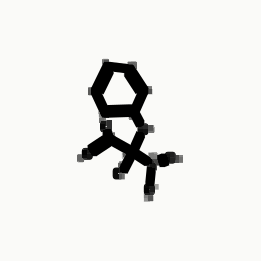 O=C(Cl)C(Cl)(Oc1ccccc1)[N+](=O)[O-]